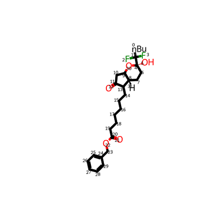 CCCCC(F)(F)[C@@]1(O)CC[C@H]2C(CC(=O)C2CCCCCCC(=O)OCc2ccccc2)O1